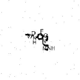 CCOC(=O)Nc1cc(F)c2c(c1)N(Cc1c[nH]cn1)CCO2